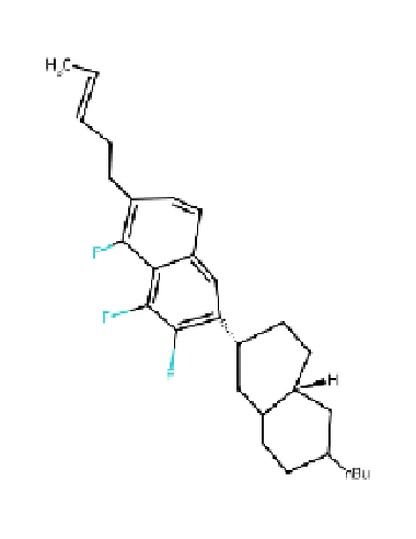 C/C=C/CCc1ccc2cc([C@@H]3CC[C@@H]4CC(CCCC)CCC4C3)c(F)c(F)c2c1F